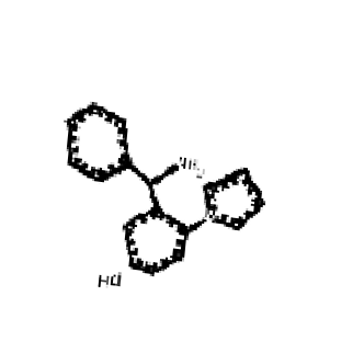 Cl.NC(c1ccccc1)c1ccccc1-n1cccc1